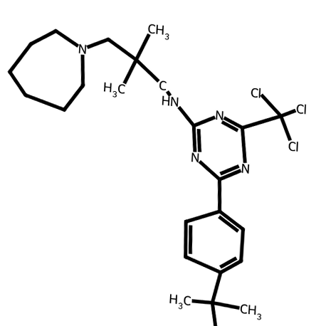 CC(C)(CNc1nc(-c2ccc(C(C)(C)C)cc2)nc(C(Cl)(Cl)Cl)n1)CN1CCCCCC1